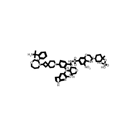 CC1(OP(=O)(O)O)CCC([C@@H]2COc3cc(S(=O)(=O)NC(=O)c4ccc(N5CCC6(CC5)CC(N5CCCOC[C@H]5c5ccccc5C(C)(C)N)C6)cc4N4c5cc6cc[nH]c6nc5O[C@H]5COCC[C@@H]54)cc([N+](=O)[O-])c3N2)CC1